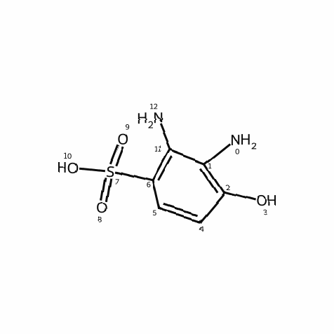 Nc1c(O)ccc(S(=O)(=O)O)c1N